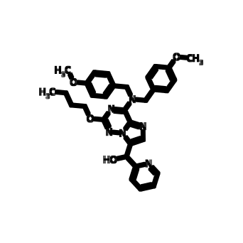 CCCCOc1nc(N(Cc2ccc(OC)cc2)Cc2ccc(OC)cc2)c2ncc(C(O)c3ccccn3)n2n1